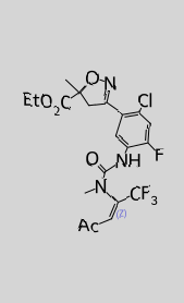 CCOC(=O)C1(C)CC(c2cc(NC(=O)N(C)/C(=C\C(C)=O)C(F)(F)F)c(F)cc2Cl)=NO1